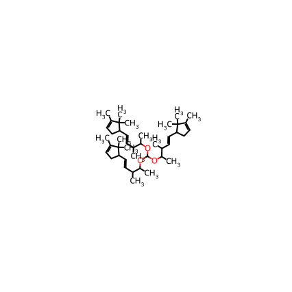 CC1=CCC(/C=C/C(C)C(C)OC(OC(C)C(C)/C=C/C2CC=C(C)C2(C)C)OC(C)C(C)/C=C/C2CC=C(C)C2(C)C)C1(C)C